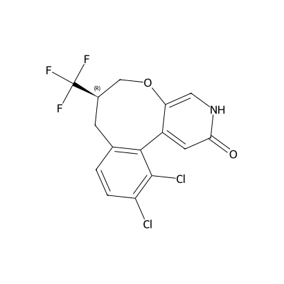 O=c1cc2c(c[nH]1)OC[C@H](C(F)(F)F)Cc1ccc(Cl)c(Cl)c1-2